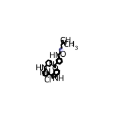 CN(C)C/C=C/C(=O)Nc1cccc(C(=O)N2CCCC(Nc3ncc(Cl)c(-c4c[nH]c5ccccc45)n3)C2)c1